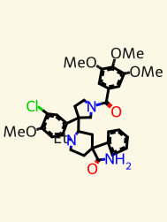 CCN1CCC(C(N)=O)(c2ccccc2)CC1C1(c2ccc(OC)c(Cl)c2)CCN(C(=O)c2cc(OC)c(OC)c(OC)c2)C1